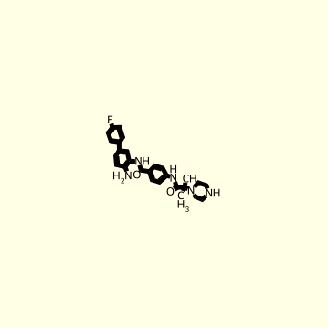 CC(C)(C(=O)Nc1ccc(C(=O)Nc2cc(-c3ccc(F)cc3)ccc2N)cc1)N1CCNCC1